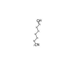 [CH]=CCCCCCC#N